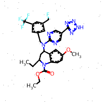 CCOC(=O)N1c2ccc(OC)cc2C(N(Cc2cc(CF)cc(C(F)(F)F)c2)c2ncc(-c3nn[nH]n3)cn2)CC1CC